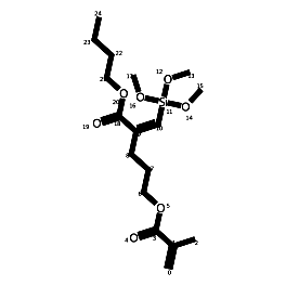 C=C(C)C(=O)OCCCC(=C[Si](OC)(OC)OC)C(=O)OCCCC